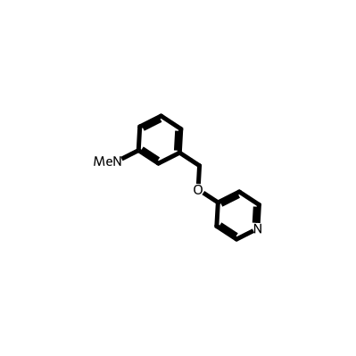 CNc1cccc(COc2ccncc2)c1